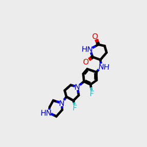 O=C1CCC(Nc2ccc(N3CCC(N4CCNCC4)C(F)C3)c(F)c2)C(=O)N1